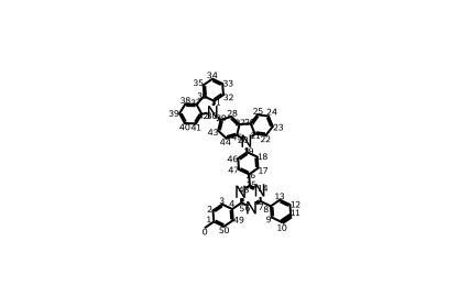 Cc1ccc(-c2nc(-c3cc#ccc3)nc(-c3ccc(-n4c5ccccc5c5cc(-n6c7ccccc7c7ccccc76)ccc54)cc3)n2)cc1